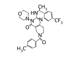 Cc1ccc(C(=O)N2CCc3nc(N[C@@H](C)c4ccc(C(F)(F)F)cc4)n(N4CCOCC4)c(=O)c3C2)cc1